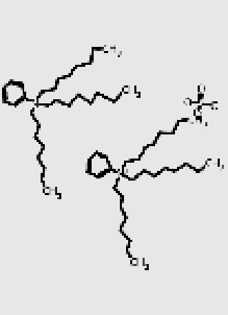 CCCCCCCC[N+](CCCCCCCC)(CCCCCCCC)c1ccccc1.CCCCCCCC[N+](CCCCCCCC)(CCCCCCCC)c1ccccc1.O=S(=O)([O-])[O-]